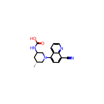 C[C@@H]1CC(NC(=O)O)CN(c2ccc(C#N)c3ncccc23)C1